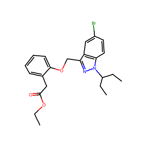 CCOC(=O)Cc1ccccc1OCc1nn(C(CC)CC)c2ccc(Br)cc12